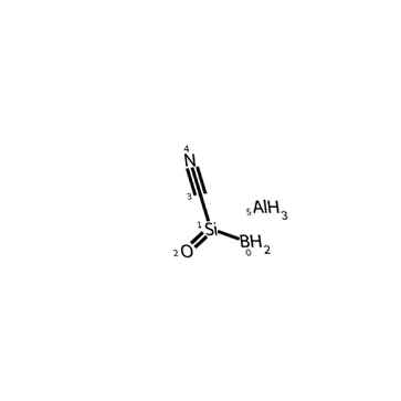 B[Si](=O)C#N.[AlH3]